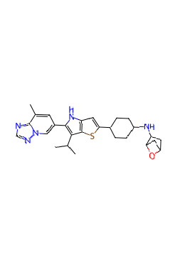 Cc1cc(-c2[nH]c3cc(C4CCC(NC5CC6CC5O6)CC4)sc3c2C(C)C)cn2ncnc12